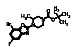 CC1CN(C(=O)OC(C)(C)C)CCN1c1nc2cc(F)cc(Br)c2o1